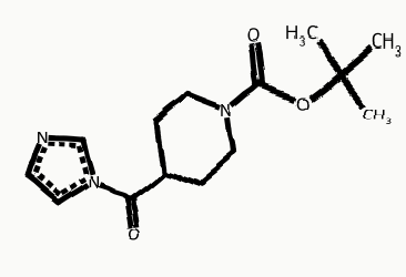 CC(C)(C)OC(=O)N1CCC(C(=O)n2ccnc2)CC1